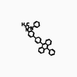 Cc1nc2ccc(C3C=CC(c4c5ccccc5c(-c5ccccc5)c5ccccc45)=CC3)cc2n1-c1ccccc1